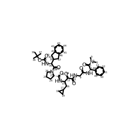 CN(C)C(=O)[C@@H](NC(=O)CNC(=O)C(=O)C(CC1CC1)NC(=O)[C@@H]1CCCN1C(=O)[C@@H](NC(=O)OC(C)(C)C)C1Cc2ccccc2C1)c1ccccc1